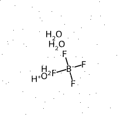 F[B-](F)(F)F.O.O.O.[H+]